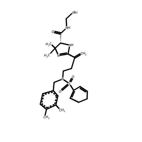 C=C(CCN(Cc1ccc(C)c(C)c1)S(=O)(=O)C1=CCCC=C1)C1=NC(C)(C)[C@H](C(=O)NCC(C)(C)C)N1